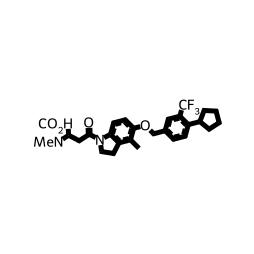 CNC(CC(=O)N1CCc2c1ccc(OCc1ccc(C3CCCC3)c(C(F)(F)F)c1)c2C)C(=O)O